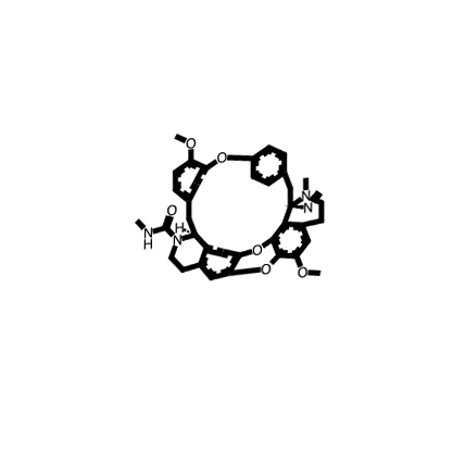 C=N[C@]12Cc3ccc(cc3)Oc3cc(ccc3OC)C[C@H]3c4cc5c(cc4CCN3C(=O)NC)Oc3c(OC)cc(c1c3O5)CCN2C